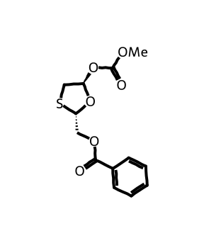 COC(=O)O[C@@H]1CS[C@@H](COC(=O)c2ccccc2)O1